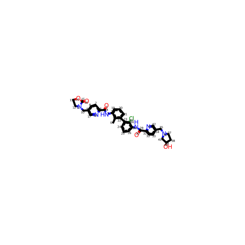 Cc1c(NC(=O)c2ccc(CN3CCOC3=O)cn2)cccc1-c1cccc(NC(=O)c2ccc(CN3CC[C@@H](O)C3)cn2)c1Cl